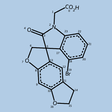 O=C(O)CN1C(=O)C2(COc3cc4c(cc32)CCO4)c2c(Br)cccc21